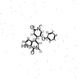 Cn1cc(Oc2ccccc2)c(-c2cn(C)c(=O)c3[nH]ccc23)cc1=O